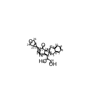 O=c1c2nn(Cc3ccccc3F)c(C(O)CO)c2nnn1C1C2COCC21